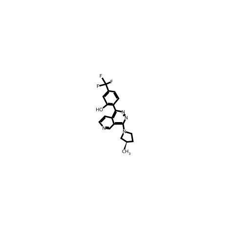 C[C@@H]1CCN(c2nnc(-c3ccc(C(F)(F)F)cc3O)c3ccncc23)C1